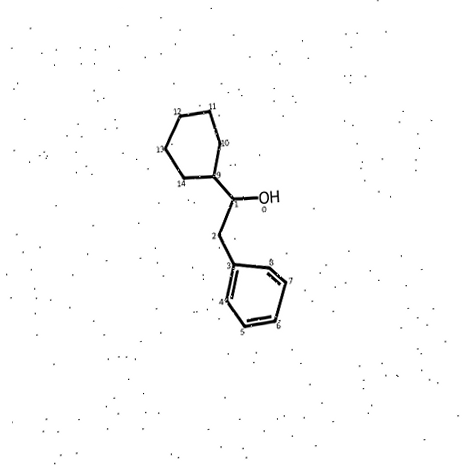 OC(Cc1cc[c]cc1)C1CCCCC1